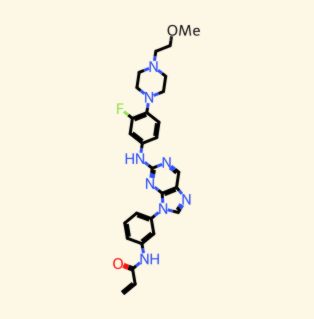 C=CC(=O)Nc1cccc(-n2cnc3cnc(Nc4ccc(N5CCN(CCOC)CC5)c(F)c4)nc32)c1